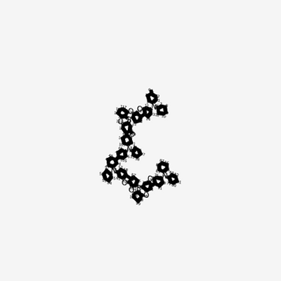 Cc1ccc(N(c2ccccc2)c2ccc3c(c2)oc2c4c(ccc23)B2c3cc5oc6cc(N(c7ccccc7)c7ccc(-c8cccc(N(c9ccccc9)c9ccc%10c(c9)oc9c%11c(ccc9%10)B9c%10cc%12oc%13cc(N(c%14ccccc%14)c%14ccccc%14)ccc%13c%12cc%10Oc%10cccc(c%109)O%11)c8)cc7)ccc6c5cc3Oc3cccc(c32)O4)cc1